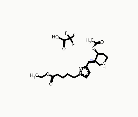 CCOC(=O)CCCCn1ccc(/C=C2\CNCCC2SC(C)=O)n1.O=C(O)C(F)(F)F